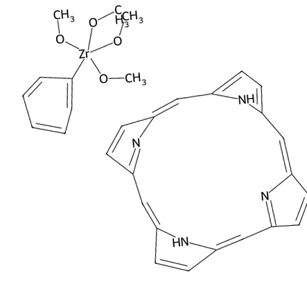 C1=Cc2cc3ccc(cc4nc(cc5ccc(cc1n2)[nH]5)C=C4)[nH]3.C[O][Zr]([O]C)([O]C)([O]C)[c]1ccccc1